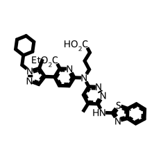 CCOC(=O)c1nc(N(CCCC(=O)O)c2cc(C)c(Nc3nc4ccccc4s3)nn2)ccc1-c1cnn(CC2CCCCC2)c1C